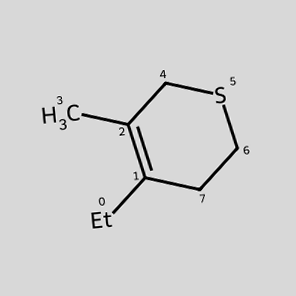 CCC1=C(C)CSCC1